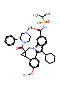 COc1ccc2c(c1)C1CC1(C(=O)N1CCN(C)C[C@@H]1c1ccccc1)Cn1c-2c(C2CCCCC2)c2ccc(C(=O)NS(=O)(=O)C(C)C)cc21